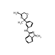 Cn1nc(Nc2cccc([C@]3(C)COCC(N)=N3)c2)c2ccccc21